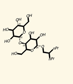 CCCC(CCC)CO[C@@H]1OC(CO)[C@@H](O[C@H]2OC(CO)[C@@H](O)C(O)C2O)C(O)C1O